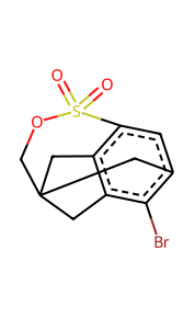 O=S1(=O)OCC23Cc4cc1c(c(c4Br)C2)C3